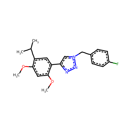 COc1cc(OC)c(C(C)C)cc1-c1cn(Cc2ccc(F)cc2)nn1